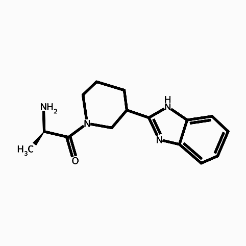 C[C@@H](N)C(=O)N1CCCC(c2nc3ccccc3[nH]2)C1